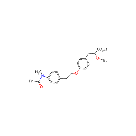 CCOC(=O)C(Cc1ccc(OCCc2ccc(N(C)C(=O)C(C)C)cc2)cc1)OCC